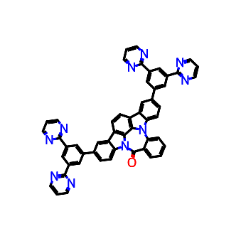 O=c1c2ccccc2n2c3ccc(-c4cc(-c5ncccn5)cc(-c5ncccn5)c4)cc3c3ccc4c5cc(-c6cc(-c7ncccn7)cc(-c7ncccn7)c6)ccc5n1c4c32